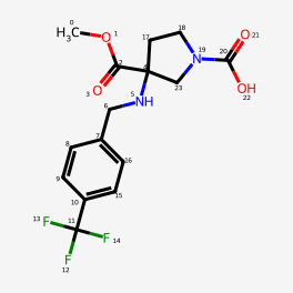 COC(=O)C1(NCc2ccc(C(F)(F)F)cc2)CCN(C(=O)O)C1